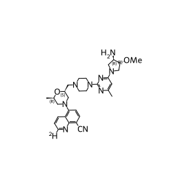 [2H]c1ccc2c(N3C[C@H](CN4CCN(c5nc(C)cc(N6C[C@@H](N)[C@H](OC)C6)n5)CC4)O[C@H](C)C3)ccc(C#N)c2n1